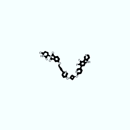 O=C1CCC(N2C(=O)c3ccc(OCC#Cc4ccc(O[C@H]5C[C@H](Oc6ccc(-c7cc8[nH]c9ccncc9c8c(F)c7F)cn6)C5)cn4)cc3C2=O)C(=O)N1